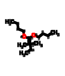 CCCCO[SiH](OCCCC)C(C)(C)CC